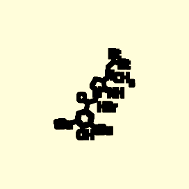 Br.CCC(CC)CN(C)C1CCN(CC(=O)c2cc(C(C)(C)C)c(O)c(C(C)(C)C)c2)C1=N